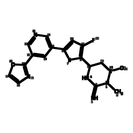 CN1C(=N)NC(c2sc(-c3cncc(-c4ncco4)c3)cc2F)C[S+]1[O-]